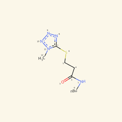 CCCCNC(=O)CCSc1nnnn1C